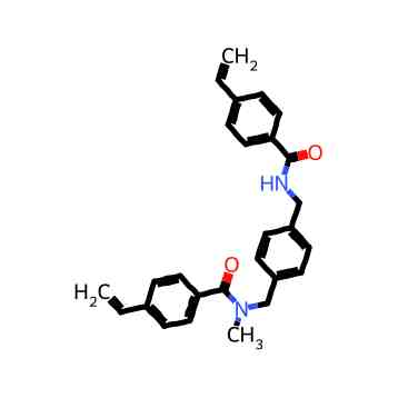 C=Cc1ccc(C(=O)NCc2ccc(CN(C)C(=O)c3ccc(C=C)cc3)cc2)cc1